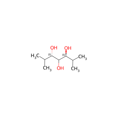 CC(C)[C@H](O)C(O)[C@@H](O)C(C)C